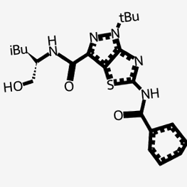 CC[C@H](C)[C@@H](CO)NC(=O)c1nn(C(C)(C)C)c2nc(NC(=O)c3ccccc3)sc12